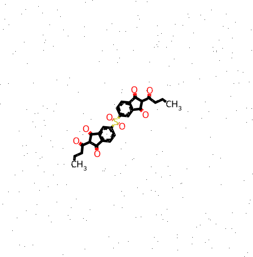 CCCC(=O)C1C(=O)c2ccc(S(=O)(=O)c3ccc4c(c3)C(=O)C(C(=O)CCC)C4=O)cc2C1=O